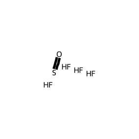 F.F.F.F.O=S